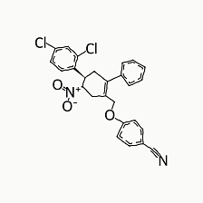 N#Cc1ccc(OCC2=C(c3ccccc3)C[C@H](c3ccc(Cl)cc3Cl)[C@@H]([N+](=O)[O-])C2)cc1